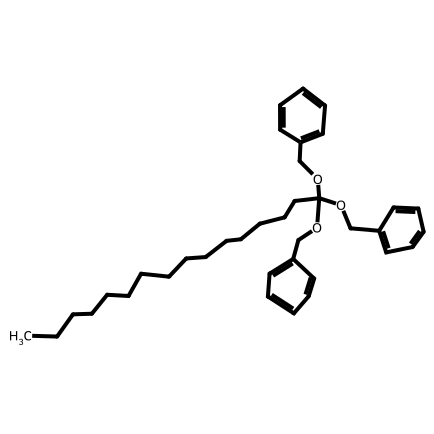 CCCCCCCCCCCCCCCC(OCc1ccccc1)(OCc1ccccc1)OCc1ccccc1